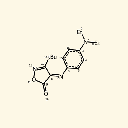 CCN(CC)c1ccc(N=C2C(=O)ON=C2C(C)(C)C)cc1